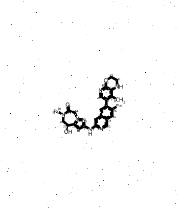 Cc1c(-c2cc3cc(Nc4cc5n(n4)CC(=O)N(C(C)C)C[C@@H]5O)ncc3cc2F)cnc2c1NCCO2